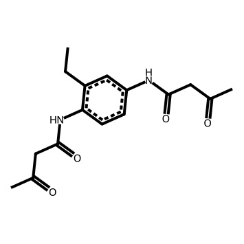 CCc1cc(NC(=O)CC(C)=O)ccc1NC(=O)CC(C)=O